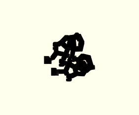 CC1=CC2SC(Br)[C]3(S[C]4(C5=CC(C)=CC5SC4Br)[Zr]3([c]3ccccc3)[c]3ccccc3)C2=C1